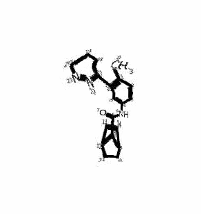 Cc1ccc(NC(=O)C2C3CCC2CC3)cc1-c1cccnn1